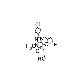 Cn1c(=O)n(CCCO)c(=O)c2c1nc(-c1ccc(Cl)cc1)n2Cc1ccc(F)cc1